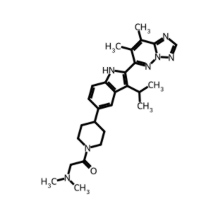 Cc1c(-c2[nH]c3ccc(C4CCN(C(=O)CN(C)C)CC4)cc3c2C(C)C)nn2ncnc2c1C